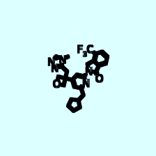 Cn1cnnc1CC1(c2cc(CC3CCCC3)nc(N3Cc4c(cccc4C(F)(F)F)C3=O)c2)COC1